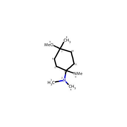 CNC1(N(C)C)CCC(C)(OC)CC1